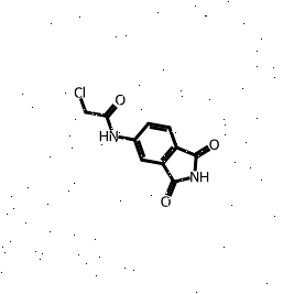 O=C(CCl)Nc1ccc2c(c1)C(=O)NC2=O